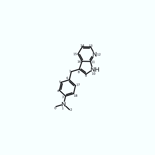 CN(C)c1ccc(Cc2c[nH]c3ncccc23)cc1